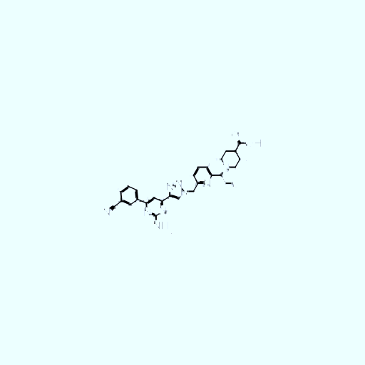 CC[C@@H](c1cccc(Cn2cc(-c3cc(-c4cccc(C#N)c4)nc(N)n3)nn2)n1)N1CCC(C(=O)O)CC1